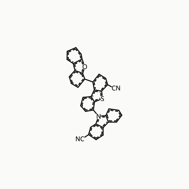 N#Cc1ccc2c3ccccc3n(-c3cccc4c3sc3c(C#N)ccc(-c5cccc6c5oc5ccccc56)c34)c2c1